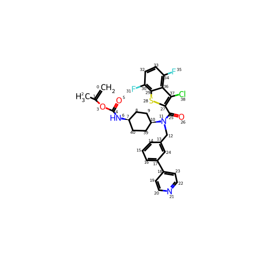 C=C(C)OC(=O)N[C@H]1CC[C@@H](N(Cc2cccc(-c3ccncc3)c2)C(=O)c2sc3c(F)ccc(F)c3c2Cl)CC1